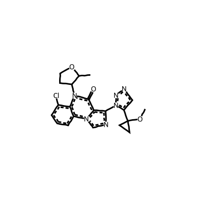 COC1(c2cnnn2-c2ncn3c2c(=O)n(C2CCOC2C)c2c(Cl)cccc23)CC1